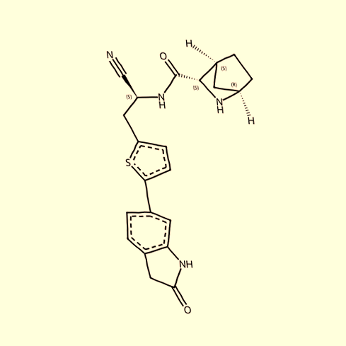 N#C[C@H](Cc1ccc(-c2ccc3c(c2)NC(=O)C3)s1)NC(=O)[C@H]1N[C@@H]2CC[C@H]1C2